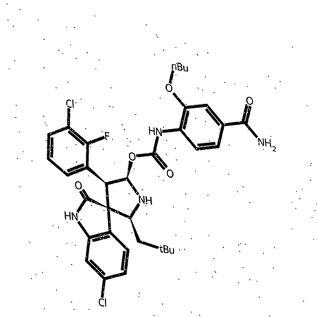 CCCCOc1cc(C(N)=O)ccc1NC(=O)O[C@H]1N[C@@H](CC(C)(C)C)[C@@]2(C(=O)Nc3cc(Cl)ccc32)[C@H]1c1cccc(Cl)c1F